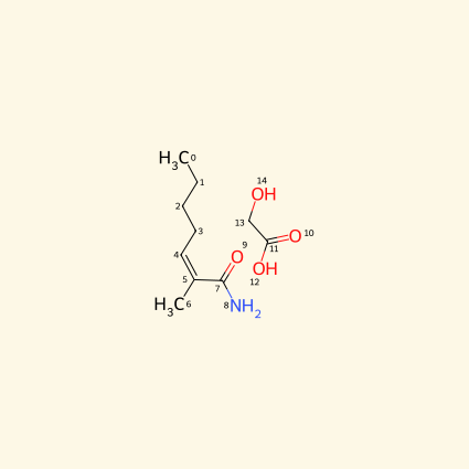 CCCCC=C(C)C(N)=O.O=C(O)CO